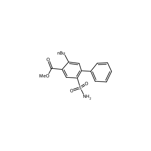 CCCCc1cc(-c2ccccc2)c(S(N)(=O)=O)cc1C(=O)OC